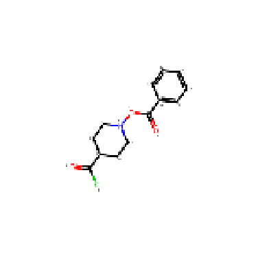 O=C(ON1CCC(C(=O)Cl)CC1)c1ccccc1